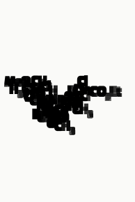 CC1COc2ccccc2N1C(=O)C(Cl)Cl.CCNc1nc(Cl)nc(NC(C)C)n1.CCOC(=O)C(Cl)Cc1cc(-n2nc(C)n(C(F)F)c2=O)c(F)cc1Cl.CCc1cccc(C)c1N(C(=O)CCl)C(C)COC